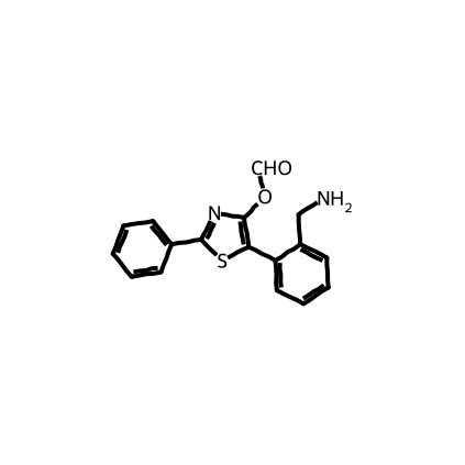 NCc1ccccc1-c1sc(-c2ccccc2)nc1OC=O